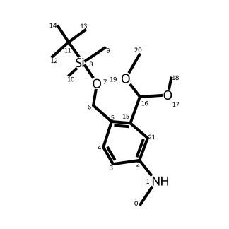 CNc1ccc(CO[Si](C)(C)C(C)(C)C)c(C(OC)OC)c1